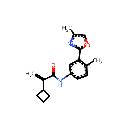 C=C(C(=O)Nc1ccc(C)c(-c2nc(C)co2)c1)C1CCC1